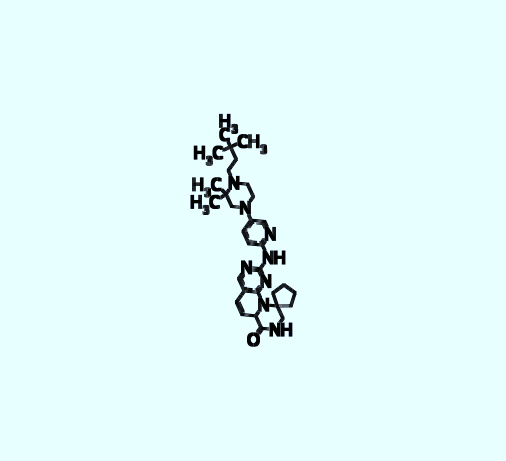 CC(C)(C)CCN1CCN(c2ccc(Nc3ncc4c(n3)N3C(C=C4)C(=O)NCC34CCCC4)nc2)CC1(C)C